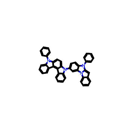 c1ccc(-n2c3ccccc3c3c4c5ccccc5n(-c5ccc6c(c5)n5c7ccccc7cc5n6-c5ccccc5)c4ccc32)cc1